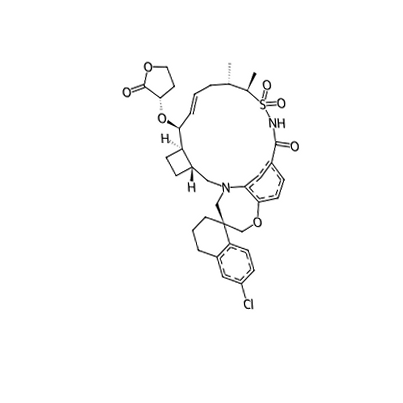 C[C@@H]1[C@@H](C)C/C=C/[C@H](O[C@H]2CCOC2=O)[C@@H]2CC[C@H]2CN2C[C@@]3(CCCc4cc(Cl)ccc43)COc3ccc(cc32)C(=O)NS1(=O)=O